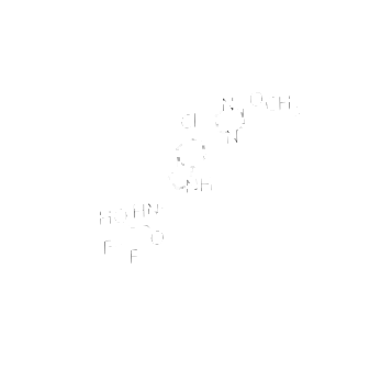 COc1cnc(-c2cc3[nH]c(CNC(=O)C(O)C(F)F)cc3cc2Cl)cn1